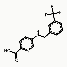 O=C(O)c1ccc(NCc2cccc(C(F)(F)F)c2)cn1